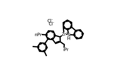 CCCc1ccc2c(c1-c1cc(C)cc(C)c1)C=C(CC(C)C)[CH]2[Zr+2]1[c]2cccc3c2[SiH]1c1ccccc1-3.[Cl-].[Cl-]